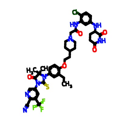 CCc1cc(N2C(=S)N(c3cnc(C#N)c(C(F)(F)F)c3)C(=O)C2(C)C)ccc1OCCC1CCN(CC(=O)Nc2cc(NC3CCC(=O)NC3=O)ccc2Cl)CC1